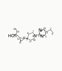 CCc1cnc(N2CCC([C@H]3C[C@H]3[C@@H](O)CC)CC2)nc1